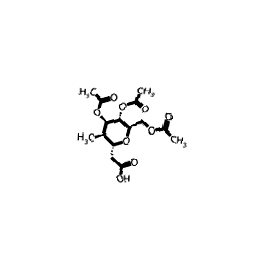 CC(=O)OC[C@H]1O[C@H](CC(=O)O)[C@@H](C)[C@@H](OC(C)=O)[C@@H]1OC(C)=O